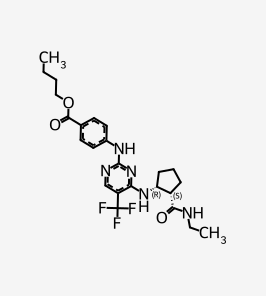 CCCCOC(=O)c1ccc(Nc2ncc(C(F)(F)F)c(N[C@@H]3CCC[C@@H]3C(=O)NCC)n2)cc1